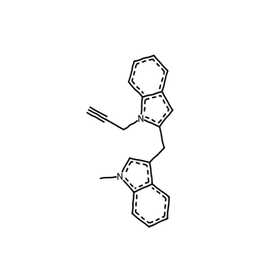 C#CCn1c(Cc2cn(C)c3ccccc23)cc2ccccc21